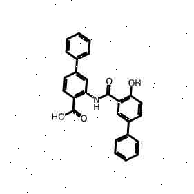 O=C(Nc1cc(-c2ccccc2)ccc1C(=O)O)c1cc(-c2ccccc2)ccc1O